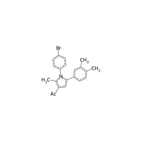 CC(=O)c1cc(-c2ccc(C)c(C)c2)n(-c2ccc(Br)cc2)c1C